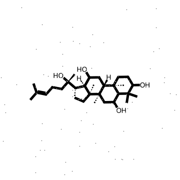 CC(C)=CCC[C@](C)(O)[C@H]1CC[C@@]2(C)[C@@H]1C(O)C[C@@H]1[C@@]3(C)CCC(O)C(C)(C)C3C(O)C[C@]12C